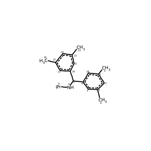 Cc1cc(C)cc(C(NC(C)C)c2cc(C)cc(C)c2)c1